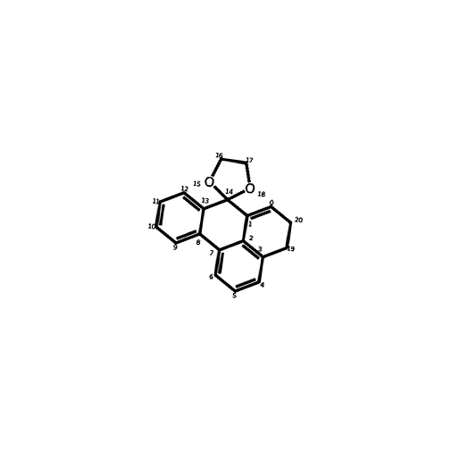 C1=C2c3c(cccc3-c3ccccc3C23OCCO3)CC1